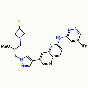 COC(CN1CC(F)C1)Cn1cc(-c2cnc3ccc(Nc4cc(C(C)C)cnn4)nc3c2)cn1